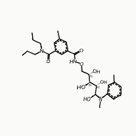 CCCN(CCC)C(=O)c1cc(C)cc(C(=O)NOC[C@H](O)[C@H](O)[C@H](O)C(O)N(C)c2cccc(C)c2)c1